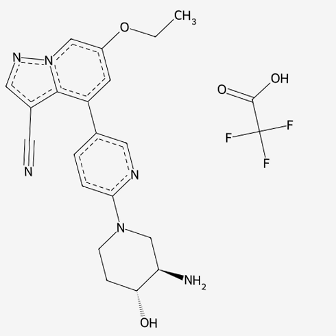 CCOc1cc(-c2ccc(N3CC[C@@H](O)[C@H](N)C3)nc2)c2c(C#N)cnn2c1.O=C(O)C(F)(F)F